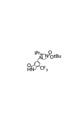 CC(C)[C@H]1CN(C(=O)OC(C)(C)C)CCN1Cc1cc2c(c(C(F)(F)F)c1)CNC2=O